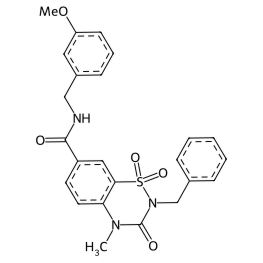 COc1cccc(CNC(=O)c2ccc3c(c2)S(=O)(=O)N(Cc2ccccc2)C(=O)N3C)c1